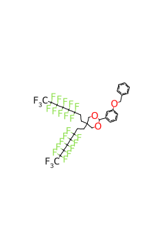 FC(F)(F)C(F)(F)C(F)(F)C(F)(F)C(F)(F)C(F)(F)CCC1(CCC(F)(F)C(F)(F)C(F)(F)C(F)(F)C(F)(F)C(F)(F)F)COC(c2cccc(OCc3ccccc3)c2)OC1